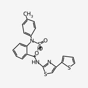 Cc1ccc(N(c2ccccc2C(=O)Nc2nc(-c3cccs3)cs2)[SH](=O)=O)cc1